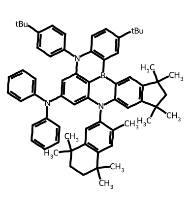 Cc1cc2c(cc1N1c3cc4c(cc3B3c5cc(C(C)(C)C)ccc5N(c5ccc(C(C)(C)C)cc5)c5cc(N(c6ccccc6)c6ccccc6)cc1c53)C(C)(C)CC4(C)C)C(C)(C)CCC2(C)C